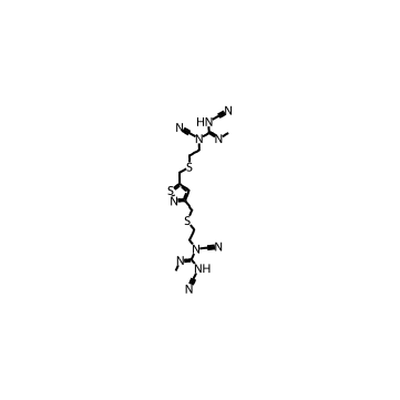 CN=C(NC#N)N(C#N)CCSCc1cc(CSCCN(C#N)C(=NC)NC#N)sn1